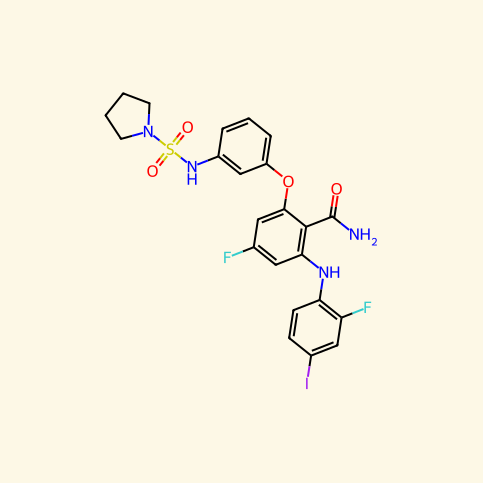 NC(=O)c1c(Nc2ccc(I)cc2F)cc(F)cc1Oc1cccc(NS(=O)(=O)N2CCCC2)c1